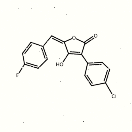 O=C1OC(=Cc2ccc(F)cc2)C(O)=C1c1ccc(Cl)cc1